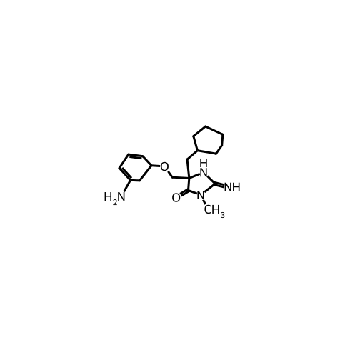 CN1C(=N)NC(COC2C=CC=C(N)C2)(CC2CCCCC2)C1=O